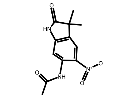 CC(=O)Nc1cc2c(cc1[N+](=O)[O-])C(C)(C)C(=O)N2